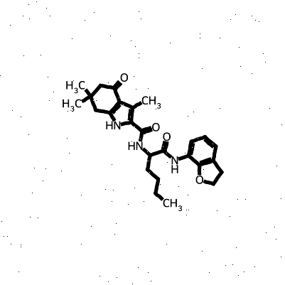 CCCCC(NC(=O)c1[nH]c2c(c1C)C(=O)CC(C)(C)C2)C(=O)Nc1cccc2c1OCC2